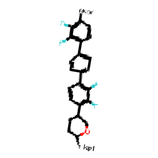 CCCCCCCCCc1ccc(-c2ccc(-c3ccc(C4CCC(CCCCCCC)OC4)c(F)c3F)cc2)c(F)c1F